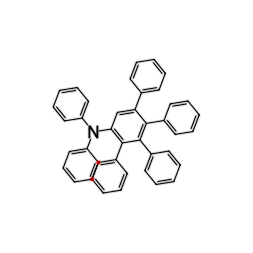 c1ccc(-c2cc(N(c3ccccc3)c3ccccc3)c(-c3ccccc3)c(-c3ccccc3)c2-c2ccccc2)cc1